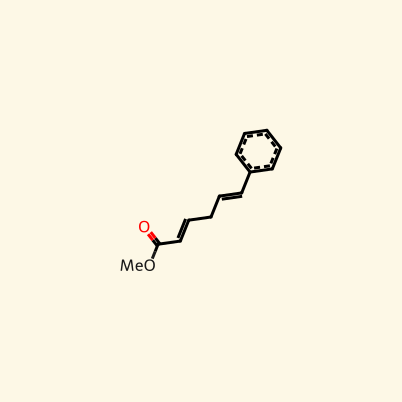 COC(=O)C=CCC=Cc1ccccc1